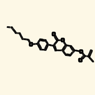 C=C(C)C(=O)Oc1ccc2cc(-c3ccc(OCCCCCC)cc3)c(=O)oc2c1